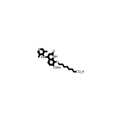 COc1ccc2c(Nc3c(C)cncc3C)cc(=O)[nH]c2c1OCCCCCCCC(=O)O